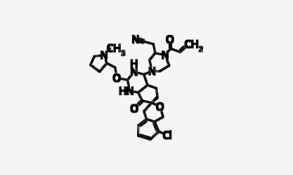 C=CC(=O)N1CCN(C2NC(OCC3CCCN3C)NC3C(=O)[C@@]4(CCC32)Cc2cccc(Cl)c2CO4)CC1CC#N